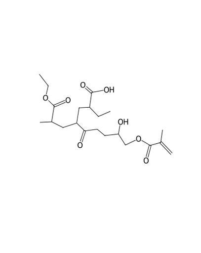 C=C(C)C(=O)OCC(O)CCC(=O)C(CC(C)C(=O)OCC)CC(CC)C(=O)O